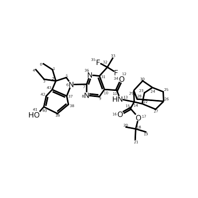 CCC1(CC)CN(c2ncc(C(=O)NC3(C(=O)OC(C)(C)C)C4CC5CC(C4)CC3C5)c(C(C)(F)F)n2)c2ccc(O)cc21